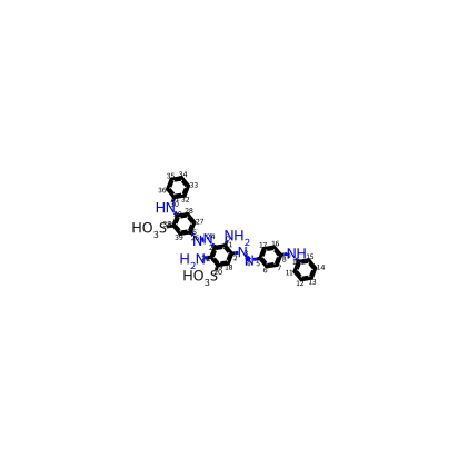 Nc1c(/N=N/c2ccc(Nc3ccccc3)cc2)cc(S(=O)(=O)O)c(N)c1/N=N/c1ccc(Nc2ccccc2)c(S(=O)(=O)O)c1